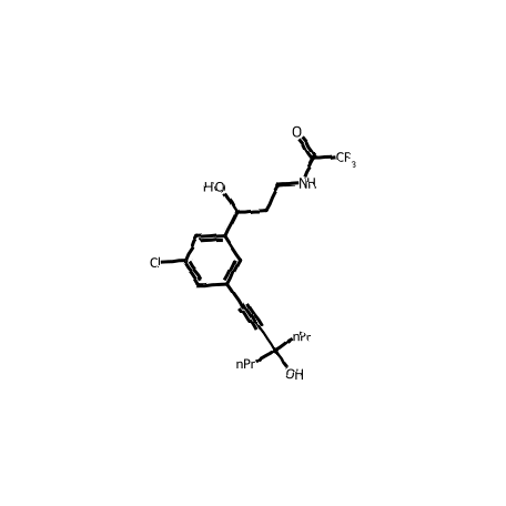 CCCC(O)(C#Cc1cc(Cl)cc(C(O)CCNC(=O)C(F)(F)F)c1)CCC